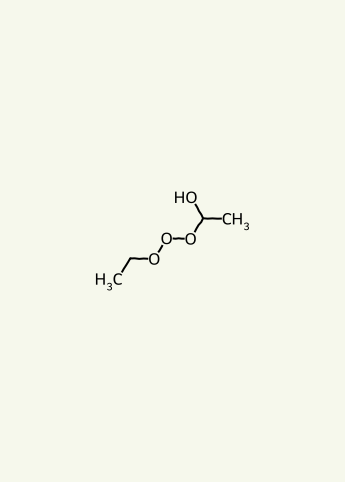 CCOOOC(C)O